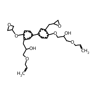 C=CCOCC(O)COc1ccc(-c2ccc(OC3COC3)c(CC(O)COCC=C)c2)cc1CC1CO1